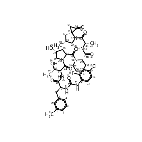 Cc1cccc(C[C@H](NC(=O)Nc2ccc(Cl)cc2F)C(=O)N[C@H](C(=O)N2C[C@H](O)C[C@H]2C(=O)N2CCCC[C@H]2C(=O)N[C@@H](C)C(=O)N2C[C@H](C)C[C@@]23CC3=O)[C@H](C)O)c1